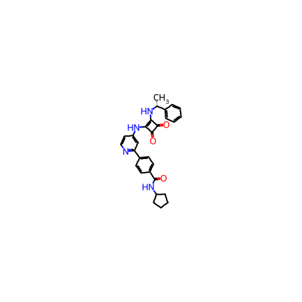 C[C@@H](Nc1c(Nc2ccnc(-c3ccc(C(=O)NC4CCCC4)cc3)c2)c(=O)c1=O)c1ccccc1